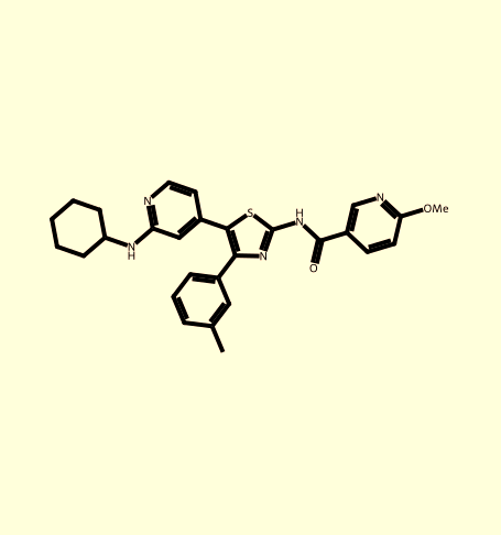 COc1ccc(C(=O)Nc2nc(-c3cccc(C)c3)c(-c3ccnc(NC4CCCCC4)c3)s2)cn1